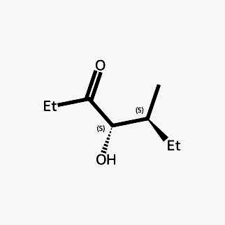 CCC(=O)[C@@H](O)[C@@H](C)CC